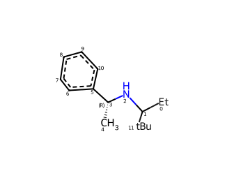 CCC(N[C@H](C)c1ccccc1)C(C)(C)C